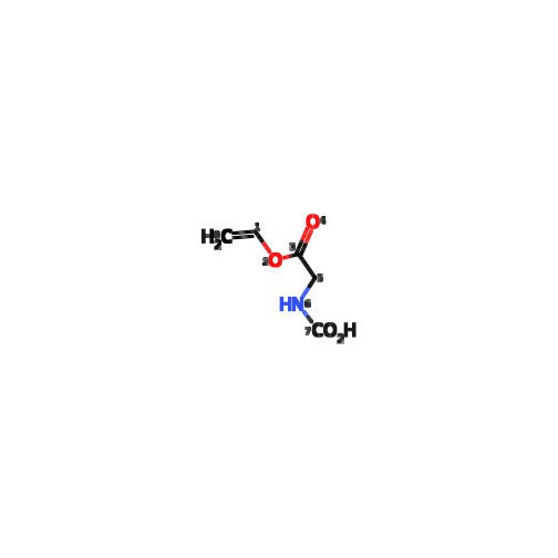 C=COC(=O)CNC(=O)O